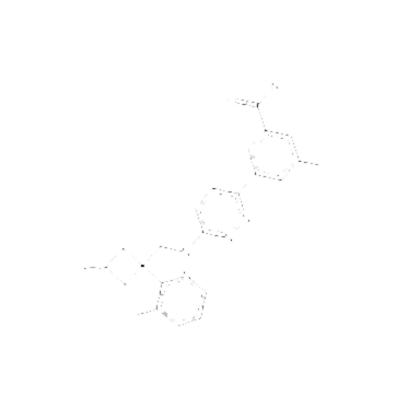 NC(=O)c1cc(Cl)cc(-c2ccc(NCC3(c4ncccc4F)CC(F)C3)nn2)c1